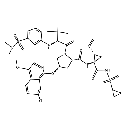 C=C[C@@H]1C[C@]1(NC(=O)[C@@H]1C[C@@H](Oc2ncc(OC)c3ccc(Cl)cc23)CN1C(=O)[C@@H](Nc1cccc(S(=O)(=O)N(C)C)c1)C(C)(C)C)C(=O)NS(=O)(=O)C1CC1